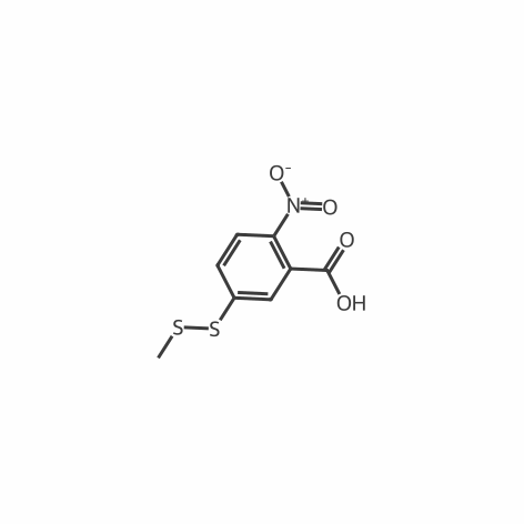 CSSc1ccc([N+](=O)[O-])c(C(=O)O)c1